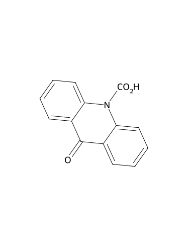 O=C(O)n1c2ccccc2c(=O)c2ccccc21